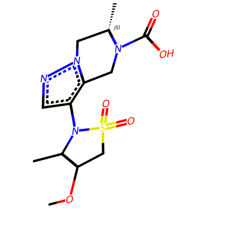 COC1CS(=O)(=O)N(c2cnn3c2CN(C(=O)O)[C@@H](C)C3)C1C